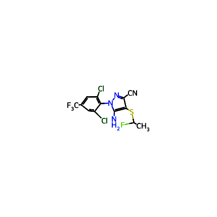 CC(F)Sc1c(C#N)nn(-c2c(Cl)cc(C(F)(F)F)cc2Cl)c1N